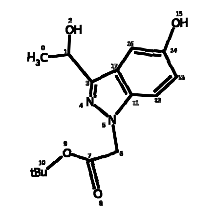 CC(O)c1nn(CC(=O)OC(C)(C)C)c2ccc(O)cc12